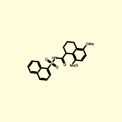 COc1ccc(OC)c2c1CCCC2C(=O)NS(=O)(=O)c1cccc2ccccc12